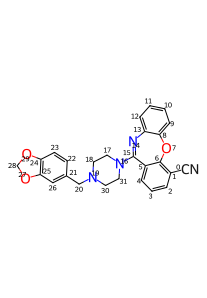 N#Cc1cccc2c1Oc1ccccc1N=C2N1CCN(Cc2ccc3c(c2)OCO3)CC1